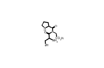 CC(C)CC(N)C(=O)N(CC(=O)O)C(=O)C1CCCN1